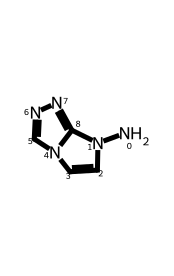 Nn1ccn2cnnc12